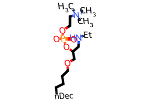 CCCCCCCCCCCCCCOCC(CNCC)OP(=O)([O-])OCC[N+](C)(C)C